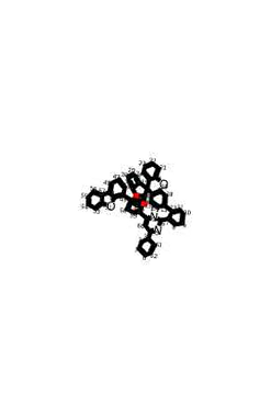 C1=CCC(C2=NC(c3ccccc3-c3ccc4c(c3)Oc3ccccc3C43c4ccccc4-c4ccccc43)NC(c3ccc(-c4cccc5c4oc4ccccc45)cc3)=C2)C=C1